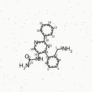 NCc1ccccc1-c1nc(-c2ccccc2)ncc1NC(N)=O